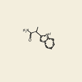 CC(C(N)=O)c1cc2ccccc2[nH]1